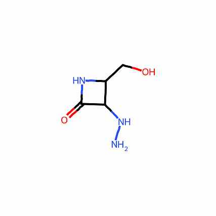 NNC1C(=O)NC1CO